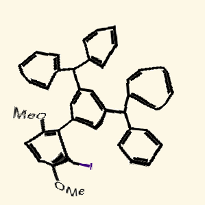 COc1ccc(OC)c(-c2cc(C(c3ccccc3)c3ccccc3)cc(C(c3ccccc3)c3ccccc3)c2)c1I